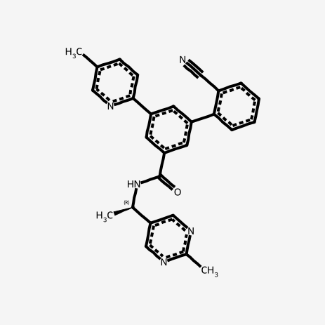 Cc1ccc(-c2cc(C(=O)N[C@H](C)c3cnc(C)nc3)cc(-c3ccccc3C#N)c2)nc1